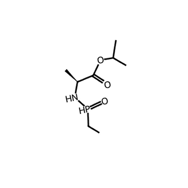 CC[PH](=O)N[C@@H](C)C(=O)OC(C)C